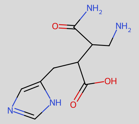 NCC(C(N)=O)C(Cc1cnc[nH]1)C(=O)O